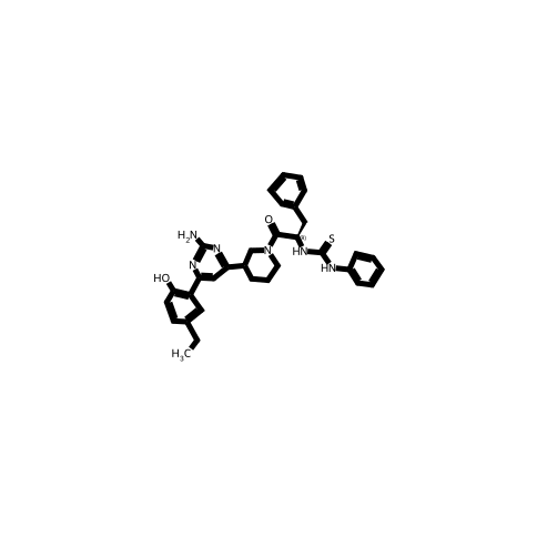 CCc1ccc(O)c(-c2cc(C3CCCN(C(=O)[C@@H](Cc4ccccc4)NC(=S)Nc4ccccc4)C3)nc(N)n2)c1